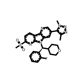 Cc1nnn(C)c1-c1cnc2c3ccc(S(C)(=O)=O)nc3n([C@H](c3ccccc3F)C3CCOCC3)c2c1